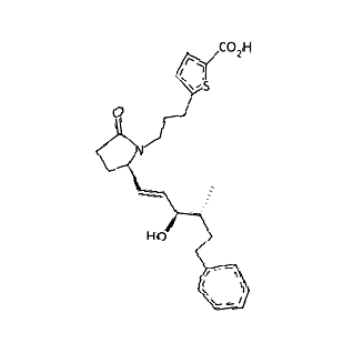 C[C@H](CCc1ccccc1)[C@@H](O)C=C[C@H]1CCC(=O)N1CCCc1ccc(C(=O)O)s1